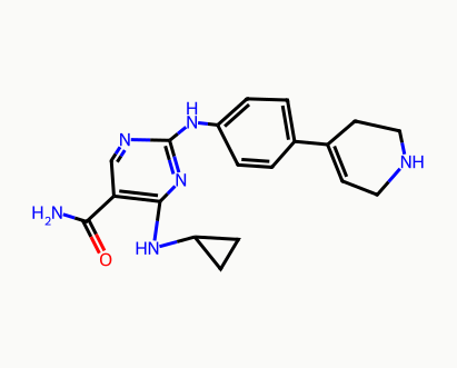 NC(=O)c1cnc(Nc2ccc(C3=CCNCC3)cc2)nc1NC1CC1